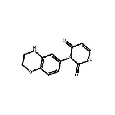 O=c1cc[nH]c(=O)n1-c1ccc2c(c1)NCCO2